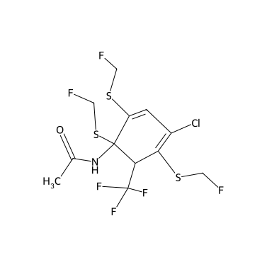 CC(=O)NC1(SCF)C(SCF)=CC(Cl)=C(SCF)C1C(F)(F)F